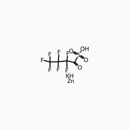 O=C(C(F)(F)C(F)(F)C(F)(F)F)S(=O)(=O)O.[KH].[Zn]